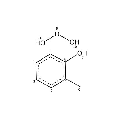 Cc1ccccc1O.OOO